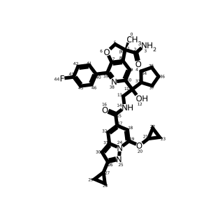 C[C@]1(C(N)=O)COc2c1cc(C(O)(CNC(=O)c1cc(OC3CC3)n3nc(C4CC4)cc3c1)C1CCCC1)nc2-c1ccc(F)cc1